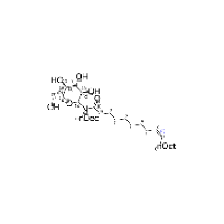 CCCCCCCC/C=C\CCCCCCCC(=O)N(CCCCCCCCCC)C1O[C@H](CO)[C@@H](O)[C@H](O)[C@H]1O